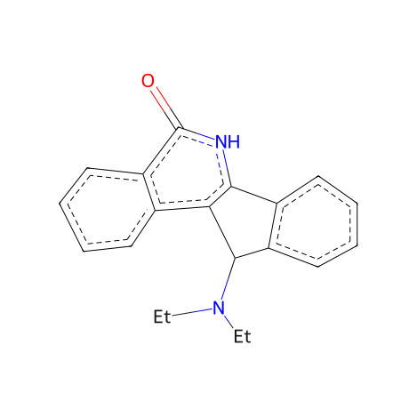 CCN(CC)C1c2ccccc2-c2[nH]c(=O)c3ccccc3c21